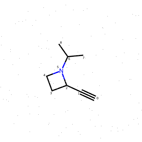 C#CC1CCN1C(C)C